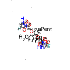 C=C(C)[C@@H]1CCC(C)=CC1c1c(OCCC(=O)n2c(=O)[nH]cc(F)c2=O)cc(CCCCC)cc1OCCC(=O)n1c(=O)[nH]cc(F)c1=O